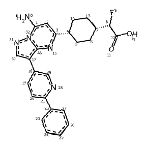 Nc1cc([C@H]2CC[C@@H](C(F)C(=O)O)CC2)nc2c(-c3ccc(-c4ccccc4)nc3)cnn12